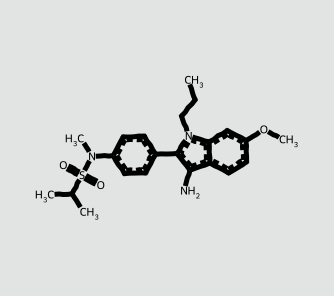 CCCn1c(-c2ccc(N(C)S(=O)(=O)C(C)C)cc2)c(N)c2ccc(OC)cc21